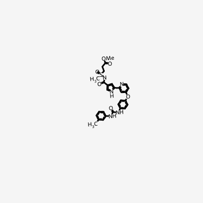 COC(=O)CCS(C)(=O)=NC(=O)c1c[nH]c(-c2cc(Oc3ccc(NC(=O)Nc4cccc(C)c4)cc3)ccn2)c1